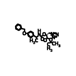 CC(C)OC(=O)[C@@H](Cn1cncn1)OC(=O)N[C@@H](C)c1ccc(OCc2ccccc2)cc1